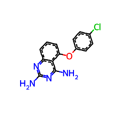 Nc1nc(N)c2c(Oc3ccc(Cl)cc3)cccc2n1